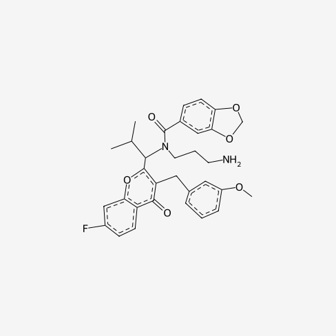 COc1cccc(Cc2c(C(C(C)C)N(CCCN)C(=O)c3ccc4c(c3)OCO4)oc3cc(F)ccc3c2=O)c1